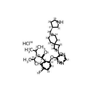 CC(C)N(C(=O)c1cc(F)ccc1Oc1nncnc1N1CC2(CCN(C[C@H]3CCNC3)CC2)C1)C(C)C.Cl